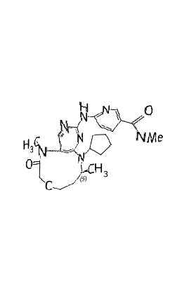 CNC(=O)c1ccc(Nc2ncc3c(n2)N(C2CCCC2)[C@@H](C)CCCCC(=O)N3C)nc1